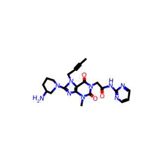 CC#CCn1c(N2CCCC(N)C2)nc2c1c(=O)n(CC(=O)Nc1ncccn1)c(=O)n2C